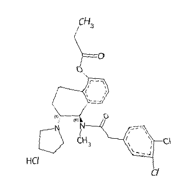 CCC(=O)Oc1cccc2c1CC[C@@H](N1CCCC1)[C@@H]2N(C)C(=O)Cc1ccc(Cl)c(Cl)c1.Cl